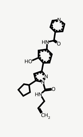 C=CCNC(=O)n1nc(-c2ccc(NC(=O)c3ccncc3)cc2O)cc1C1CCCC1